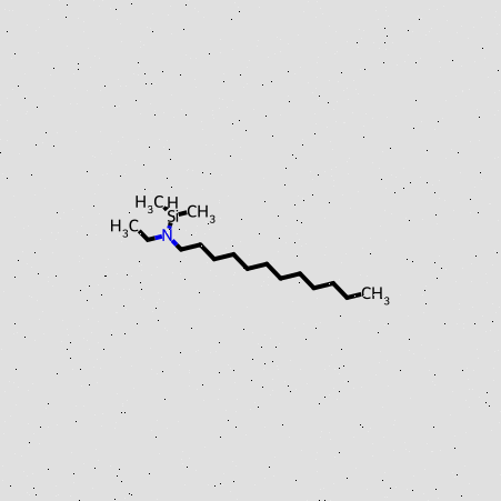 CCCCCCCCCCCCN(CC)[SiH](C)C